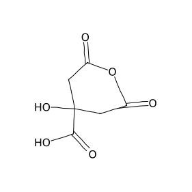 O=C1CC(O)(C(=O)O)CC(=O)O1